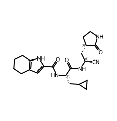 N#C[C@H](C[C@@H]1CCNC1=O)NC(=O)[C@H](CC1CC1)NC(=O)c1cc2c([nH]1)CCCC2